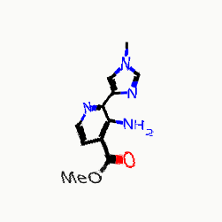 COC(=O)c1ccnc(-c2cn(C)cn2)c1N